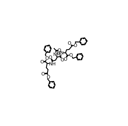 CC(=O)NC(CC(=O)NC(CCC(=O)OCc1ccccc1)C(=O)OCc1ccccc1)C(=O)NC(CCC(=O)OCc1ccccc1)C(=O)OCc1ccccc1